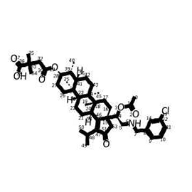 CC(=O)O[C@@H](CNCc1cccc(Cl)c1)[C@@]12CC[C@]3(C)[C@H](CC[C@@H]4[C@@]5(C)CC[C@H](OC(=O)CC(C)(C)C(=O)O)[C@H](C)[C@@H]5CC[C@]43C)C1=C(C(C)C)C(=O)C2